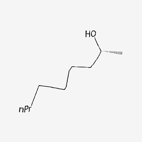 CCCCCCC[C@@H](C)O